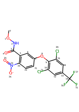 CONC(=O)c1cc(Oc2c(Cl)cc(C(F)(F)F)cc2Cl)ccc1[N+](=O)[O-]